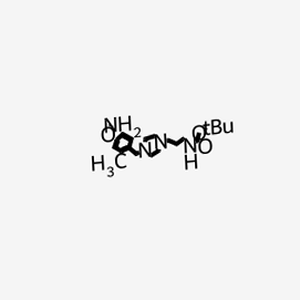 Cc1cc(ON)ccc1CN1CCN(CCCNC(=O)OC(C)(C)C)CC1